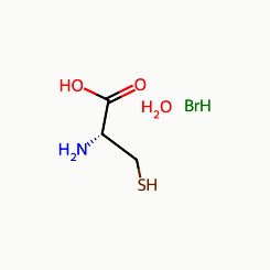 Br.N[C@@H](CS)C(=O)O.O